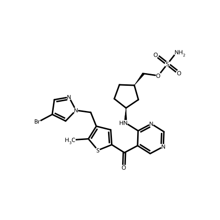 Cc1sc(C(=O)c2cncnc2N[C@H]2CC[C@@H](COS(N)(=O)=O)C2)cc1Cn1cc(Br)cn1